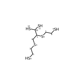 SCCSCC(SCCS)C(S)S